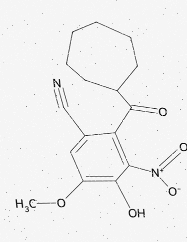 COc1cc(C#N)c(C(=O)C2CCCCCC2)c([N+](=O)[O-])c1O